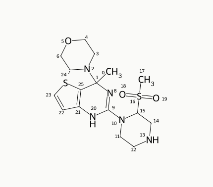 CC1(N2CCOCC2)N=C(N2CCNCC2S(C)(=O)=O)Nc2ccsc21